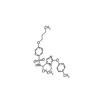 CCCCOc1ccc(S(=O)(=O)NC(C)c2cnc(Oc3ccc(C)cc3)n2CC)cc1